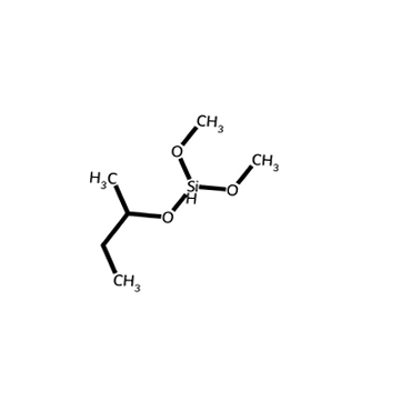 CCC(C)O[SiH](OC)OC